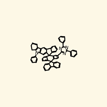 C1=Cc2c(n(-c3ccccc3)c3cc4c(cc23)-c2ccccc2C42c3ccccc3C3(c4ccccc4-c4ccccc43)c3ccc(-c4nc(-c5ccccc5)nc(-c5ccccc5)n4)cc32)CC1